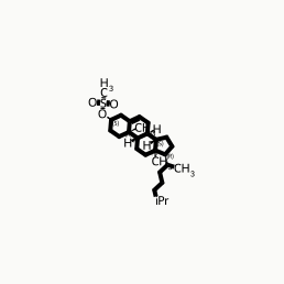 CC(C)CCCC(C)[C@H]1CC[C@H]2[C@@H]3CC=C4C[C@@H](OS(C)(=O)=O)CC[C@]4(C)[C@H]3CC[C@]12C